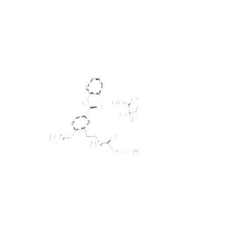 NCc1ccc(C(=O)Oc2ccccc2)cc1CCNC(=O)CC(=O)O.O=C(O)C(F)(F)F